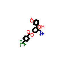 COc1cccc(C2(O)CCC(OC(=O)c3ccc(C(F)(F)F)cc3)CC2CN(C)C)c1